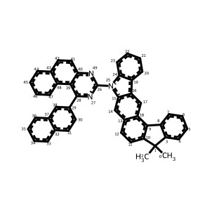 CC1(C)c2ccccc2-c2c1ccc1cc3c(cc21)c1ccccc1n3-c1nc(-c2ccc3ccccc3c2)c2c(ccc3ccccc32)n1